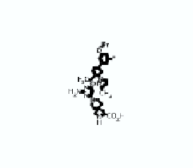 Cc1ccn(-c2cc(-c3cc(F)cc(OC(C)C)c3)ccc2C(Oc2cc(N3CCC4(CC3)CN[C@H](C(=O)O)C4)nc(N)n2)C(F)(F)F)n1